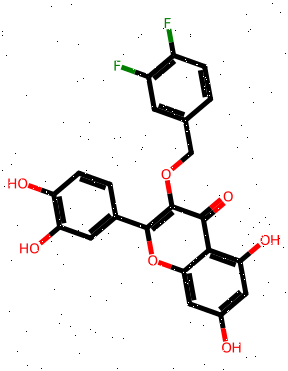 O=c1c(OCc2ccc(F)c(F)c2)c(-c2ccc(O)c(O)c2)oc2cc(O)cc(O)c12